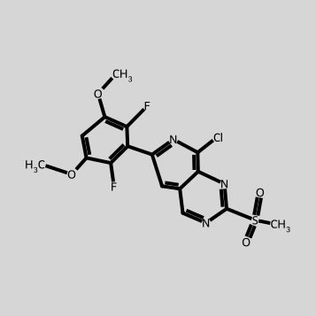 COc1cc(OC)c(F)c(-c2cc3cnc(S(C)(=O)=O)nc3c(Cl)n2)c1F